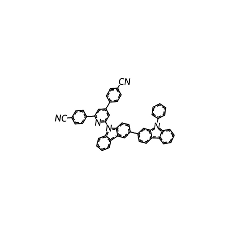 N#Cc1ccc(-c2cc(-c3ccc(C#N)cc3)nc(-n3c4ccccc4c4cc(-c5ccc6c7ccccc7n(-c7ccccc7)c6c5)ccc43)c2)cc1